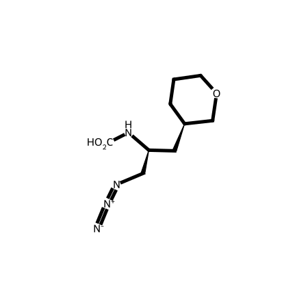 [N-]=[N+]=NC[C@H](C[C@H]1CCCOC1)NC(=O)O